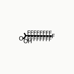 CC(C(=O)O)C(F)(F)C(F)(F)C(F)(F)C(F)(F)C(F)(F)C(F)(F)C(F)(F)C(F)(F)F